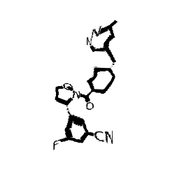 Cc1cc(C[C@H]2CC[C@H](C(=O)N3OCC[C@H]3c3cc(F)cc(C#N)c3)CC2)cnn1